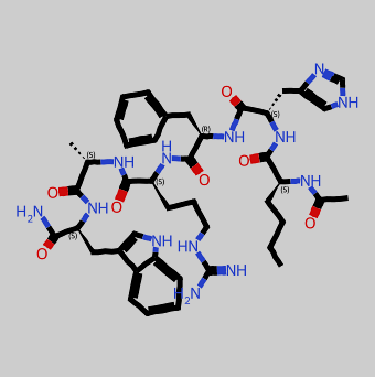 CCCC[C@H](NC(C)=O)C(=O)N[C@@H](Cc1c[nH]cn1)C(=O)N[C@H](Cc1ccccc1)C(=O)N[C@@H](CCCNC(=N)N)C(=O)N[C@@H](C)C(=O)N[C@@H](Cc1c[nH]c2ccccc12)C(N)=O